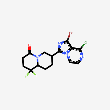 O=C1CCC(F)(F)C2CCC(c3nc(Br)c4c(Cl)nccn34)CN12